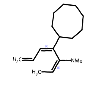 C=C/C=C(\C(=C/C)NC)C1CCCCCCC1